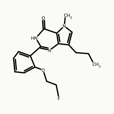 CCCc1cn(C)c2c(=O)[nH]c(-c3ccccc3OCCF)nc12